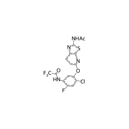 CC(=O)Nc1nc2ccc(Oc3cc(NC(=O)C(F)(F)F)c(F)cc3Cl)nc2s1